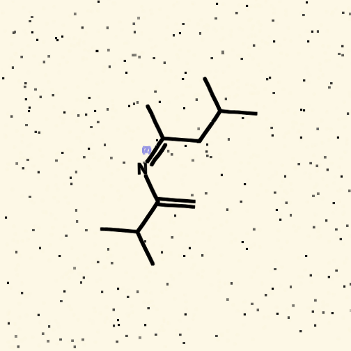 C=C(/N=C(/C)CC(C)C)C(C)C